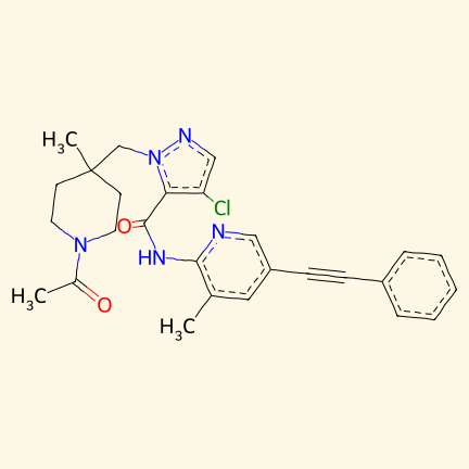 CC(=O)N1CCC(C)(Cn2ncc(Cl)c2C(=O)Nc2ncc(C#Cc3ccccc3)cc2C)CC1